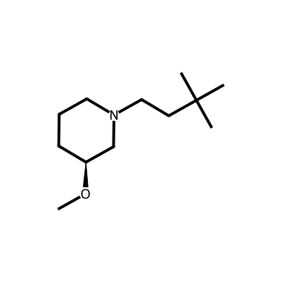 CO[C@H]1CCCN(CCC(C)(C)C)C1